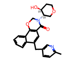 Cc1ccc(Cc2cc3c(c4ccccc24)OCN([C@H]2COCC[C@@H]2O)C3=O)cn1